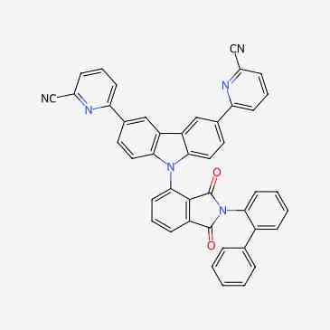 N#Cc1cccc(-c2ccc3c(c2)c2cc(-c4cccc(C#N)n4)ccc2n3-c2cccc3c2C(=O)N(c2ccccc2-c2ccccc2)C3=O)n1